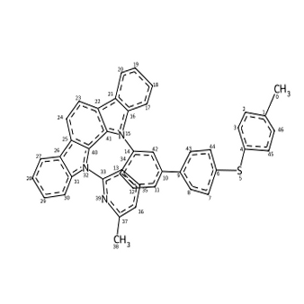 Cc1ccc(Sc2ccc(-c3cccc(-n4c5ccccc5c5ccc6c7ccccc7n(-c7cccc(C)n7)c6c54)c3)cc2)cc1